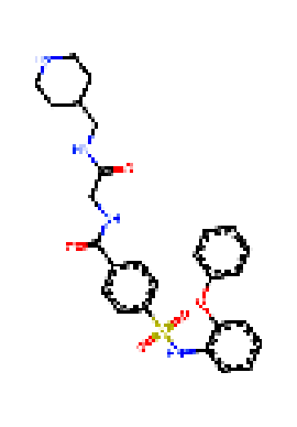 O=C(CNC(=O)c1ccc(S(=O)(=O)Nc2ccccc2Oc2ccccc2)cc1)NCC1CCNCC1